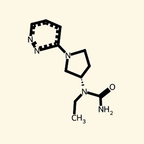 CCN(C(N)=O)[C@H]1CCN(c2cccnn2)C1